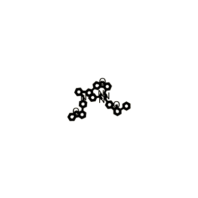 c1ccc(-c2nc(-c3ccc4c(c3)oc3c(-c5ccccc5)cccc34)nc(-c3cccc4oc5ccc(-c6ccc7c(c6)c6ccccc6n7-c6ccc(-c7cccc8c7oc7ccccc78)cc6)cc5c34)n2)cc1